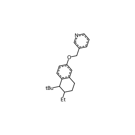 CCC1CCc2cc(OCc3cccnc3)ccc2C1C(C)(C)C